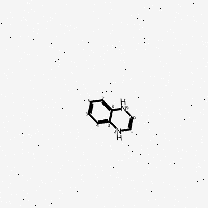 C1=CNc2ccccc2N1